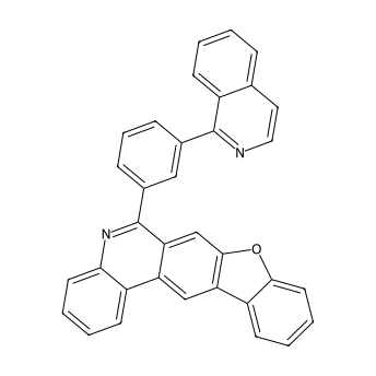 c1cc(-c2nccc3ccccc23)cc(-c2nc3ccccc3c3cc4c(cc23)oc2ccccc24)c1